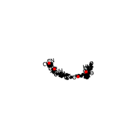 CC1(C)[C@H](NC(=O)c2ccc(N3CCN(CCOCCCCCc4cccc5c4C(=O)N([C@H]4CCC(=O)NC4=O)C5=O)CC3)nc2)C(C)(C)[C@H]1Oc1ccc(C#N)c(Cl)c1